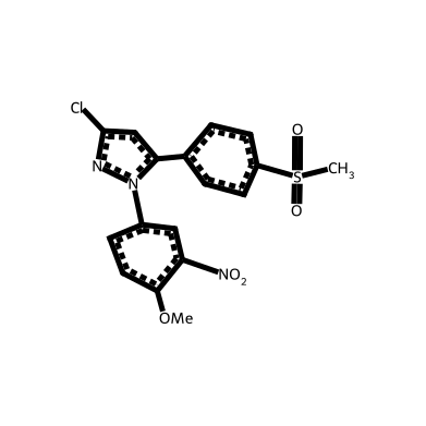 COc1ccc(-n2nc(Cl)cc2-c2ccc(S(C)(=O)=O)cc2)cc1[N+](=O)[O-]